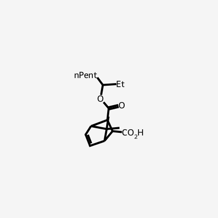 CCCCCC(CC)OC(=O)C1C(C(=O)O)C2C=CC1C2(C)C